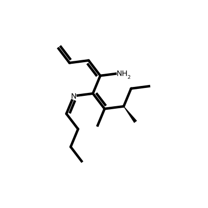 C=C/C=C(/N)C(/N=C\CCC)=C(C)[C@H](C)CC